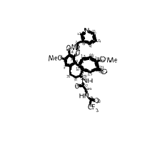 COc1cc2c(c(OCc3cccnc3)c1OC)-c1ccc(OC)c(=O)cc1C(NC(=O)CNC(=O)C(F)(F)F)CC2